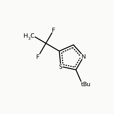 CC(C)(C)c1ncc(C(C)(F)F)s1